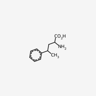 CC(CC(N)C(=O)O)c1ccccc1